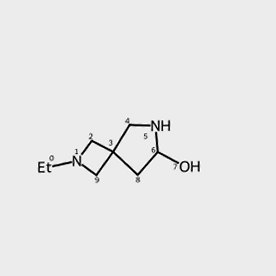 CCN1CC2(CNC(O)C2)C1